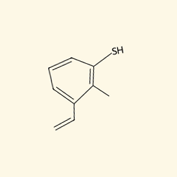 C=Cc1cccc(S)c1C